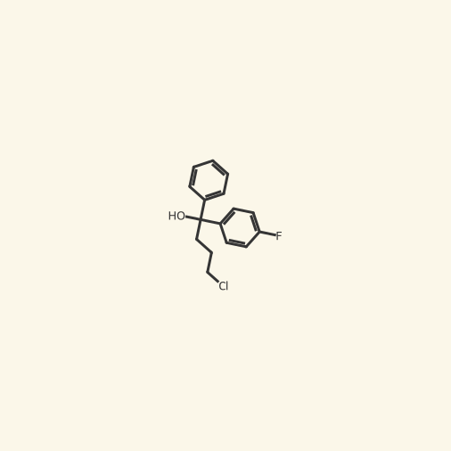 OC(CCCCl)(c1ccccc1)c1ccc(F)cc1